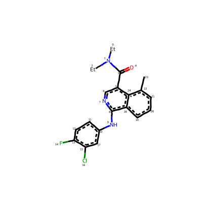 CCN(CC)C(=O)c1cnc(Nc2ccc(F)c(Cl)c2)c2cccc(C)c12